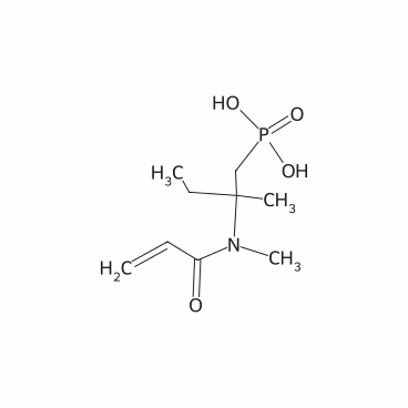 C=CC(=O)N(C)C(C)(CC)CP(=O)(O)O